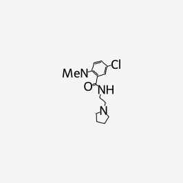 CNc1ccc(Cl)cc1C(=O)NCCN1CCCC1